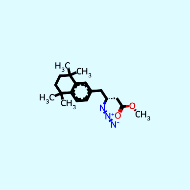 COC(=O)C[C@@H](Cc1ccc2c(c1)C(C)(C)CCC2(C)C)N=[N+]=[N-]